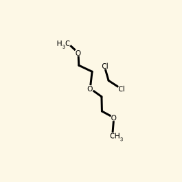 COCCOCCOC.ClCCl